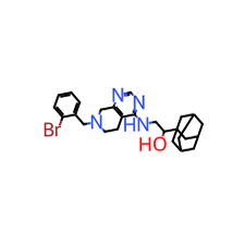 OC(CNc1ncnc2c1CCN(Cc1ccccc1Br)C2)C12CC3CC(CC(C3)C1)C2